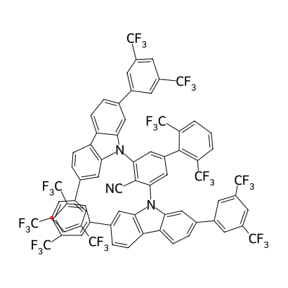 N#Cc1c(-n2c3cc(-c4cc(C(F)(F)F)cc(C(F)(F)F)c4)ccc3c3ccc(-c4cc(C(F)(F)F)cc(C(F)(F)F)c4)cc32)cc(-c2c(C(F)(F)F)cccc2C(F)(F)F)cc1-n1c2cc(-c3cc(C(F)(F)F)cc(C(F)(F)F)c3)ccc2c2ccc(-c3cc(C(F)(F)F)cc(C(F)(F)F)c3)cc21